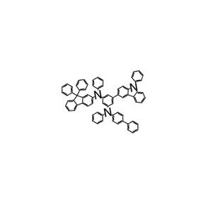 c1ccc(-c2ccc(N(c3ccccc3)c3cc(-c4ccc5c(c4)c4ccccc4n5-c4ccccc4)cc(N(c4ccccc4)c4ccc5c(c4)C(c4ccccc4)(c4ccccc4)c4ccccc4-5)c3)cc2)cc1